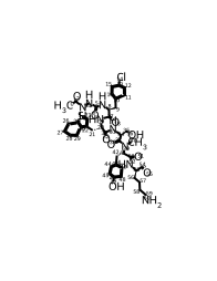 CC(=O)NNC(=O)N[C@@H](Cc1ccc(Cl)cc1)C(=O)N[C@@H](Cc1csc2ccccc12)C(=O)N[C@@H](CO)C(=O)N(C)[C@@H](Cc1ccc(O)cc1)C(=O)N[C@@H]([C]=O)CCCCN